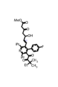 CCC(C)(C)C(=O)C(=O)c1c(C(C)C)nc(C(C)C)c(/C=C/C(O)CC(=O)CC(=O)OC)c1-c1ccc(F)cc1